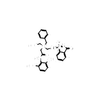 CC[N+](CC)(CC(=O)Nc1c(C)cccc1C)Cc1ccccc1.O=C1N=S(=O)([O-])c2ccccc21